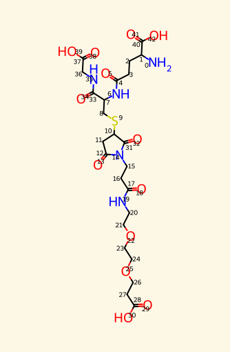 NC(CCC(=O)NC(CSC1CC(=O)N(CCC(=O)NCCOCCOCCC(=O)O)C1=O)C(=O)NCC(=O)O)C(=O)O